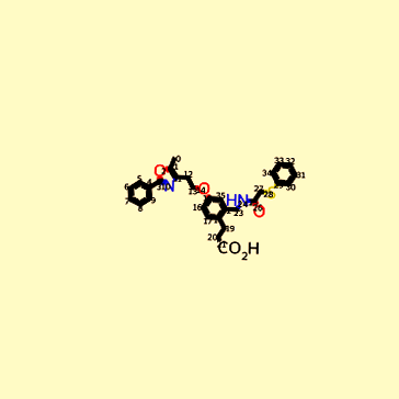 Cc1oc(-c2ccccc2)nc1CCOc1ccc(CCC(=O)O)c(CNC(=O)CSc2ccccc2)c1